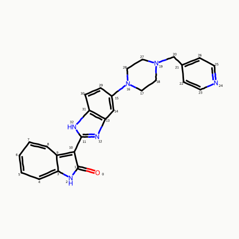 O=c1[nH]c2cccccc-2c1-c1nc2cc(N3CCN(Cc4ccncc4)CC3)ccc2[nH]1